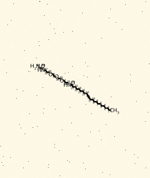 CCCCCCCCCCCCC#CCCCCCCCCC(=O)NCCCOCCOCCOCCCNC(=O)CN